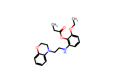 CCOc1cccc(NCCN2CCOc3ccccc32)c1OC(=O)CC